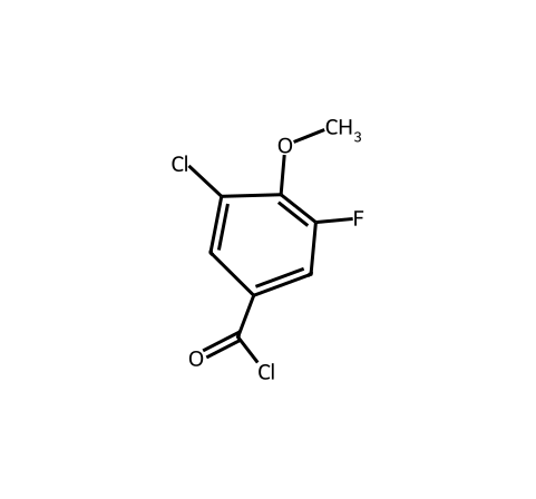 COc1c(F)cc(C(=O)Cl)cc1Cl